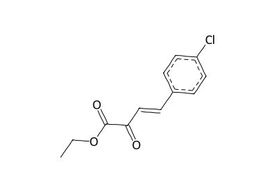 CCOC(=O)C(=O)/C=C/c1ccc(Cl)cc1